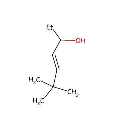 CCC(O)C=CC(C)(C)C